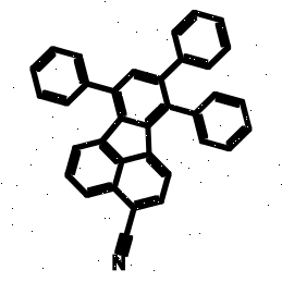 N#Cc1ccc2c3c(cccc13)-c1c(-c3ccccc3)cc(-c3ccccc3)c(-c3ccccc3)c1-2